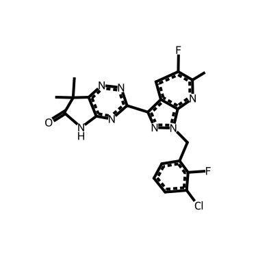 Cc1nc2c(cc1F)c(-c1nnc3c(n1)NC(=O)C3(C)C)nn2Cc1cccc(Cl)c1F